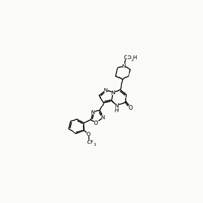 O=C(O)N1CCC(c2cc(=O)[nH]c3c(-c4noc(-c5ccccc5OC(F)(F)F)n4)cnn23)CC1